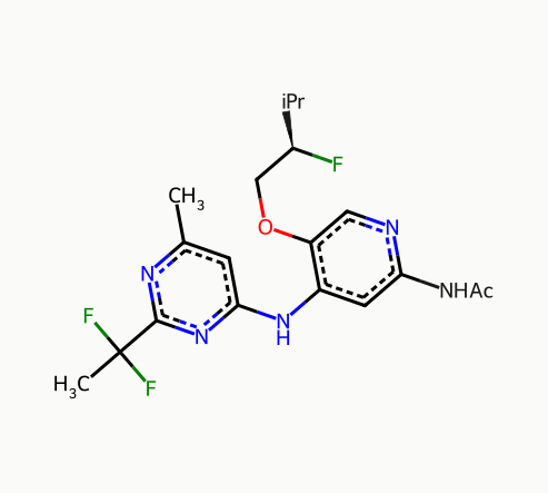 CC(=O)Nc1cc(Nc2cc(C)nc(C(C)(F)F)n2)c(OC[C@H](F)C(C)C)cn1